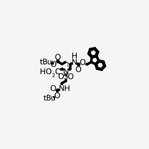 CC(C)(C)OC(=O)CC[C@@H](CN(CC(=O)O)S(=O)(=O)CCNC(=O)OC(C)(C)C)NC(=O)OCC1c2ccccc2-c2ccccc21